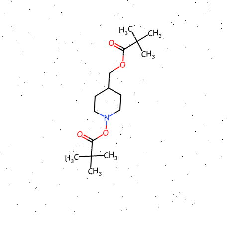 CC(C)(C)C(=O)OCC1CCN(OC(=O)C(C)(C)C)CC1